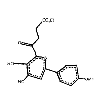 CCOC(=O)CCC(=O)c1nc(-c2ccc(OC)cc2)cc(C#N)c1O